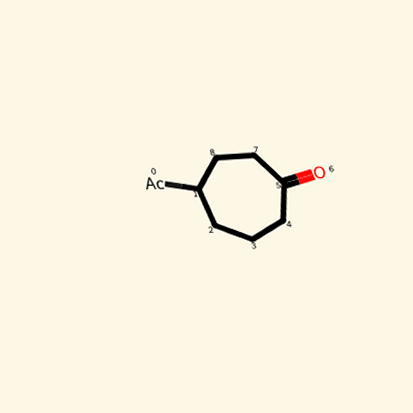 CC(=O)C1CCCC(=O)CC1